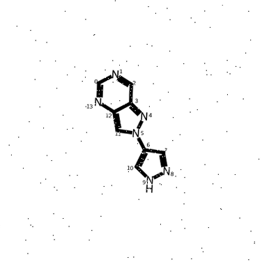 c1ncc2nn(-c3cn[nH]c3)cc2n1